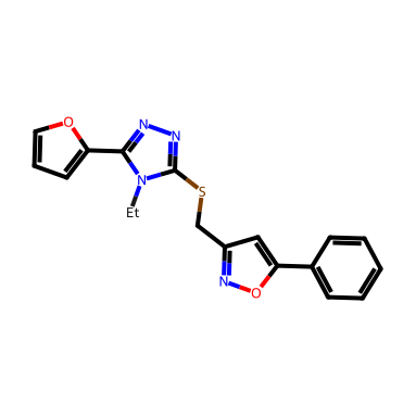 CCn1c(SCc2cc(-c3ccccc3)on2)nnc1-c1ccco1